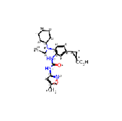 Cc1cc(NC(=O)Nc2cc(C3CC3C(=O)O)ccc2N(CC(C)C)C2CCCCC2)no1